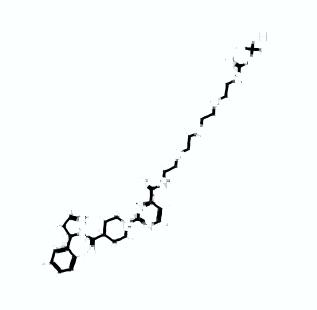 CC(C)(C)OC(=O)NCCOCCOCCOCCNC(=O)c1ccnc(N2CCC(C(=O)N3N=CCC3c3ccccc3)CC2)n1